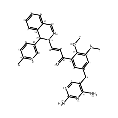 COc1cc(Cc2cnc(N)nc2N)cc(C(=O)/C=C/N2N=Cc3ccccc3C2c2ccc(C)nc2)c1OC